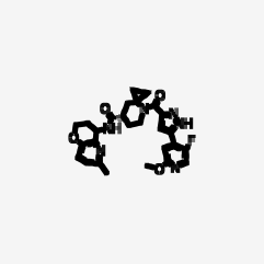 COc1cc(-c2cc(C(=O)N3CC[C@H](C(=O)NC4CCOc5ccc(C)nc54)CC34CC4)n[nH]2)c(F)cn1